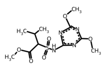 COC(=O)C(C(C)C)S(=O)(=O)Nc1nc(OC)nc(OC)n1